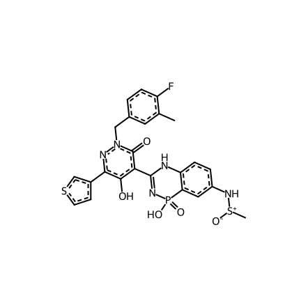 Cc1cc(Cn2nc(-c3ccsc3)c(O)c(C3=NP(=O)(O)c4cc(N[S+](C)[O-])ccc4N3)c2=O)ccc1F